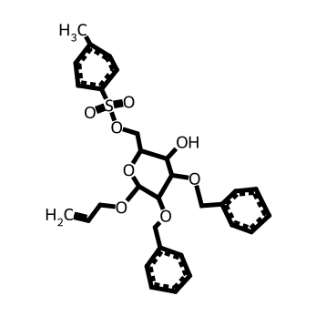 C=CCOC1OC(COS(=O)(=O)c2ccc(C)cc2)C(O)C(OCc2ccccc2)C1OCc1ccccc1